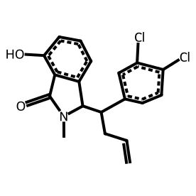 C=CCC(c1ccc(Cl)c(Cl)c1)C1c2cccc(O)c2C(=O)N1C